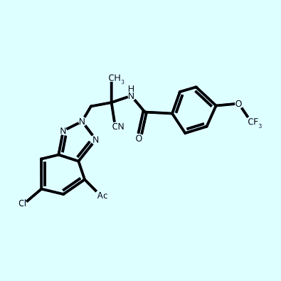 CC(=O)c1cc(Cl)cc2nn(CC(C)(C#N)NC(=O)c3ccc(OC(F)(F)F)cc3)nc12